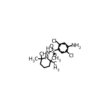 CC1(C)CCCC(C)(C)N1NS(=O)(=O)c1cc(Cl)c(N)cc1Cl